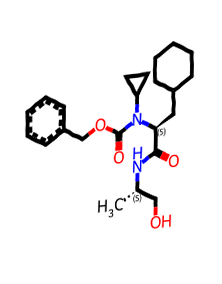 C[C@@H](CO)NC(=O)[C@H](CC1CCCCC1)N(C(=O)OCc1ccccc1)C1CC1